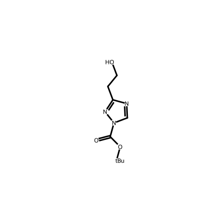 CC(C)(C)OC(=O)n1cnc(CCO)n1